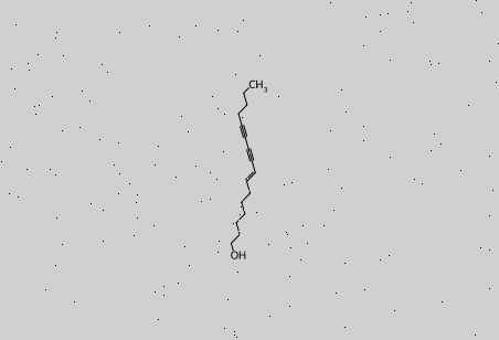 CCCCC#CC#C/C=C/CCCCCCO